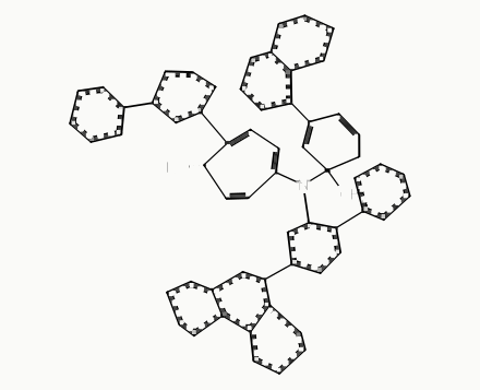 C[C@H]1C=CC(N(c2cc(-c3cc4ccccc4c4ccccc34)ccc2-c2ccccc2)C2(C)C=C(c3cccc4ccccc34)C=CC2)=CC=C1c1cccc(-c2ccccc2)c1